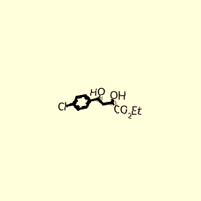 CCOC(=O)[C@H](O)C[C@@H](O)c1ccc(Cl)cc1